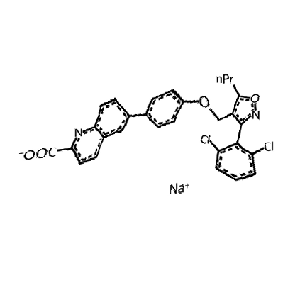 CCCc1onc(-c2c(Cl)cccc2Cl)c1COc1ccc(-c2ccc3nc(C(=O)[O-])ccc3c2)cc1.[Na+]